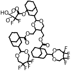 O=C(OCC1COC(C2CC3CCCC(OC(=O)C(F)(F)S(=O)(=O)O)(C3)C2)OC1COC(=O)C12CCCC(CC(C3OCC(F)(F)C(F)(F)CO3)C1)C2)C12CCCC(CC(C3OCC(F)(F)C(F)(F)CO3)C1)C2